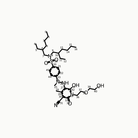 CCCCC(CC)CN(CC(CC)CCCC)S(=O)(=O)c1ccc(N(C)Nc2c(C)c(C#N)c(=O)n(CCOCCO)c2O)cc1